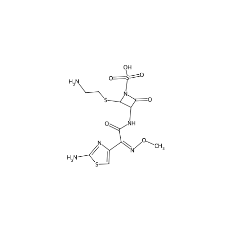 CO/N=C(\C(=O)NC1C(=O)N(S(=O)(=O)O)C1SCCN)c1csc(N)n1